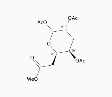 COC(=O)C[C@H]1OC(OC(C)=O)[C@H](OC(C)=O)C[C@H]1OC(C)=O